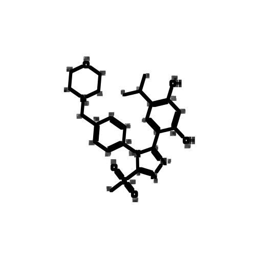 CC(C)c1cc(-c2nnc(S(C)(=O)=O)n2-c2ccc(CN3CCOCC3)cc2)c(O)cc1O